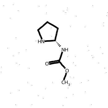 COC(=O)N[C@H]1CCCN1